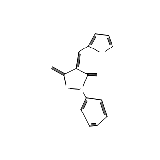 O=C1ON(c2ccccc2)C(=O)C1=Cc1ccco1